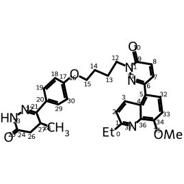 CCc1ccc2c(-c3ccc(=O)n(CCCCOc4ccc(C5=NNC(=O)CC5C)cc4)n3)ccc(OC)c2n1